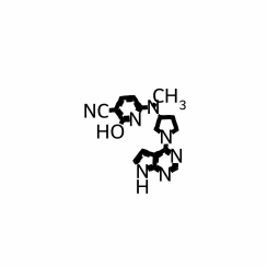 CN(c1ccc(C#N)c(O)n1)[C@@H]1CCN(c2ncnc3[nH]ccc23)C1